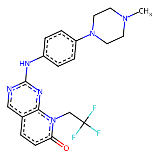 CN1CCN(c2ccc(Nc3ncc4ccc(=O)n(CC(F)(F)F)c4n3)cc2)CC1